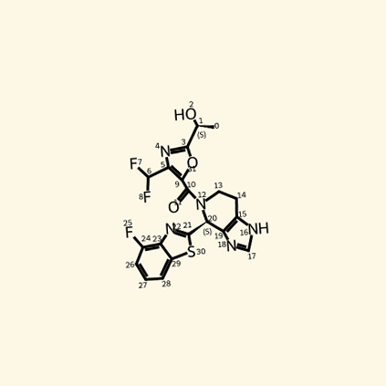 C[C@H](O)c1nc(C(F)F)c(C(=O)N2CCc3[nH]cnc3[C@H]2c2nc3c(F)cccc3s2)o1